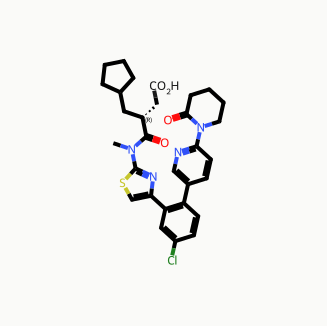 CN(C(=O)[C@@H](CC(=O)O)CC1CCCC1)c1nc(-c2cc(Cl)ccc2-c2ccc(N3CCCCC3=O)nc2)cs1